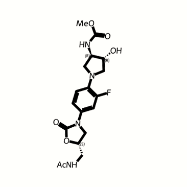 COC(=O)N[C@@H]1CN(c2ccc(N3C[C@H](CNC(C)=O)OC3=O)cc2F)C[C@H]1O